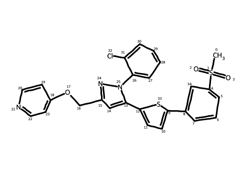 CS(=O)(=O)c1cccc(-c2ccc(-c3cc(COc4ccncc4)nn3-c3ccccc3Cl)s2)c1